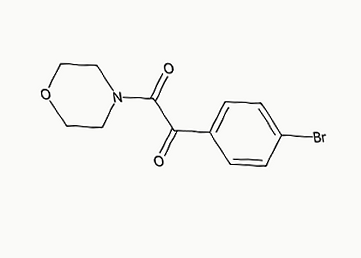 O=C(C(=O)N1CCOCC1)c1ccc(Br)cc1